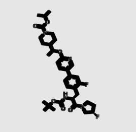 CC(C)OC(=O)N1CCC(C(C)Oc2ccc(-c3ccc(C[C@H](NC(=O)OC(C)(C)C)C(=O)N4CC[C@H](F)C4)c(F)c3)cn2)CC1